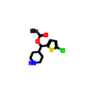 CC(C)(C)C(=O)OC(c1ccc(Cl)s1)C1CCNCC1